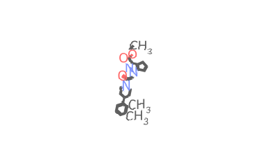 CCOC(=O)c1nn(CC(=O)N2CCC(c3cccc(C)c3C)CC2)c2c1CCC2